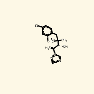 C=C([C@@H](O)C(C)(C)Cc1ccc(Cl)cc1Cl)n1cncn1